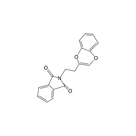 O=C1c2ccccc2C(=O)N1CCC1=COc2ccccc2O1